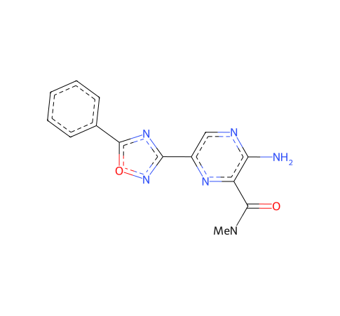 CNC(=O)c1nc(-c2noc(-c3ccccc3)n2)cnc1N